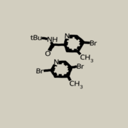 Cc1cc(Br)ncc1Br.Cc1cc(C(=O)NC(C)(C)C)ncc1Br